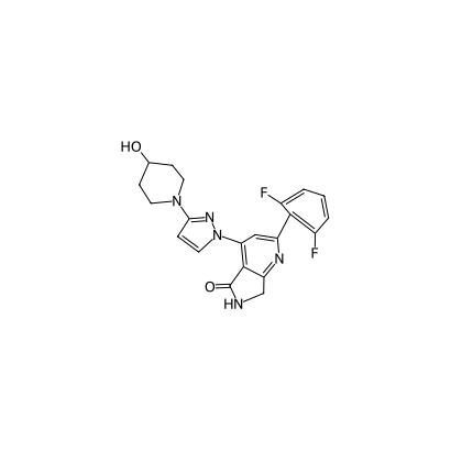 O=C1NCc2nc(-c3c(F)cccc3F)cc(-n3ccc(N4CCC(O)CC4)n3)c21